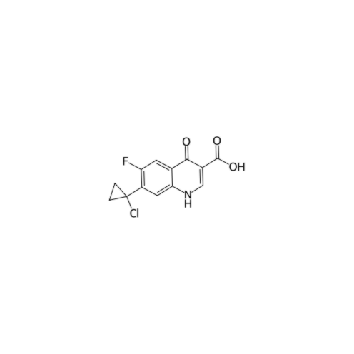 O=C(O)c1c[nH]c2cc(C3(Cl)CC3)c(F)cc2c1=O